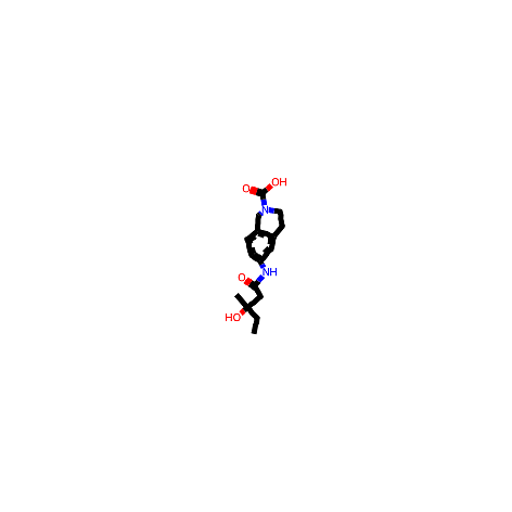 CCC(C)(O)CC(=O)Nc1ccc2c(c1)CCN(C(=O)O)C2